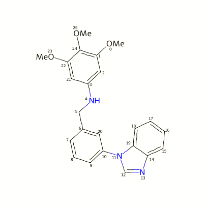 COc1cc(NCc2cccc(-n3cnc4ccccc43)c2)cc(OC)c1OC